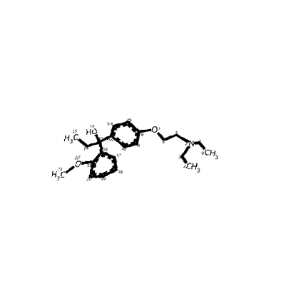 CCN(CC)CCOc1ccc(C(O)(CC)c2ccccc2OC)cc1